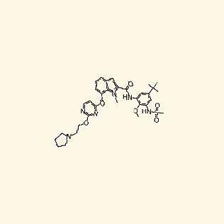 COc1c(NC(=O)c2cc3cccc(Oc4ccnc(OCCN5CCCC5)n4)c3n2C)cc(C(C)(C)C)cc1NS(C)(=O)=O